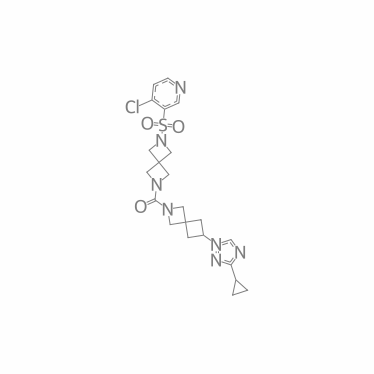 O=C(N1CC2(CC(n3cnc(C4CC4)n3)C2)C1)N1CC2(C1)CN(S(=O)(=O)c1cnccc1Cl)C2